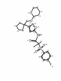 CC(C)(C(=O)Nc1cc(C2(COC3CCCCO3)CCCC2)no1)S(=O)(=O)c1ccc(F)cc1